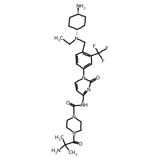 CCN(Cc1ccc(-n2ccc(NC(=O)N3CCN(C(=O)C(C)(C)N)CC3)nc2=O)cc1C(F)(F)F)[C@H]1CC[C@H](N)CC1